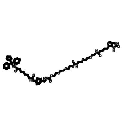 O=C(CCCCC1SCC2NC(=O)NC21)NCCOCCOCCNC(=O)OCCOCCOCCOC(=O)NCc1ccc(NC(=O)CCCCCCC(=O)NOC(c2ccccc2)(c2ccccc2)c2ccccc2)cc1